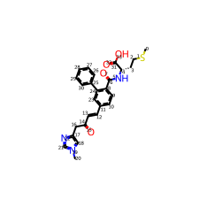 CSCC[C@H](NC(=O)c1ccc(C=CC(=O)Cc2cn(C)cn2)cc1-c1ccccc1)C(=O)O